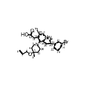 C=CCOC1(C)CCN(c2c(CC(=O)O)c(C)cn3nc(-c4cccc(Br)c4)cc23)CC1